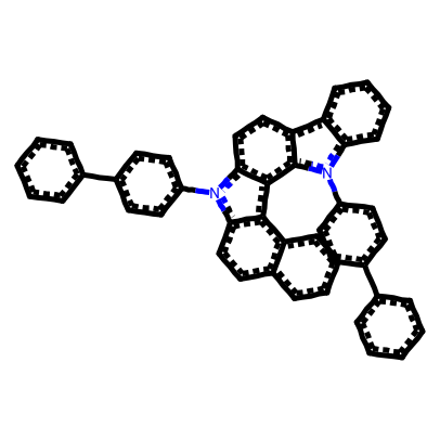 c1ccc(-c2ccc(-n3c4ccc5ccccc5c4c4c3ccc3c5ccccc5n(-c5ccc(-c6ccccc6)cc5)c34)cc2)cc1